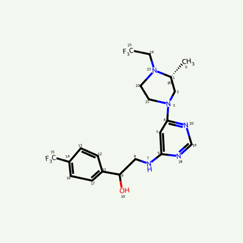 C[C@@H]1CN(c2cc(NCC(O)c3ccc(C(F)(F)F)cc3)ncn2)CCN1CC(F)(F)F